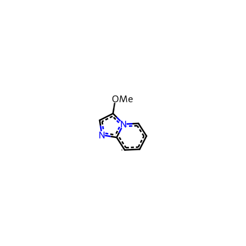 COc1cnc2[c]cccn12